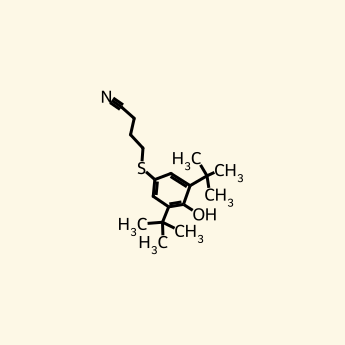 CC(C)(C)c1cc(SCCCC#N)cc(C(C)(C)C)c1O